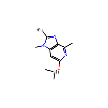 Cc1nc(O[SiH](C)C)cc2c1nc(C(C)(C)C)n2C